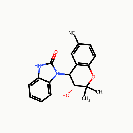 CC1(C)Oc2ccc(C#N)cc2[C@H](n2c(=O)[nH]c3ccccc32)[C@H]1O